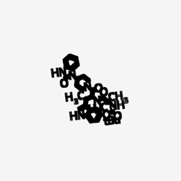 CC(c1c[nH]c2ccccc12)C(NC(=O)C(C)(C)NC(=O)OC(C)(C)C)C(=O)N1CCC(n2c(=O)[nH]c3ccccc32)CC1